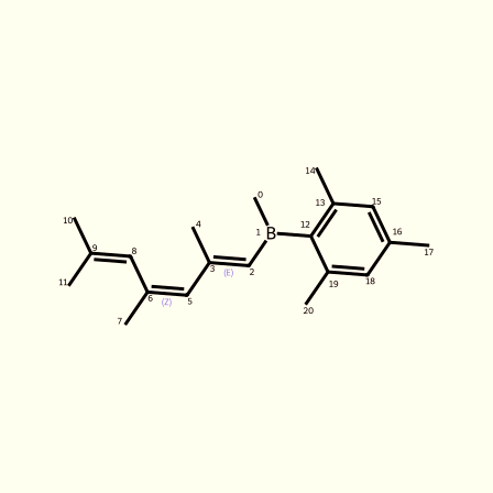 CB(/C=C(C)/C=C(/C)C=C(C)C)c1c(C)cc(C)cc1C